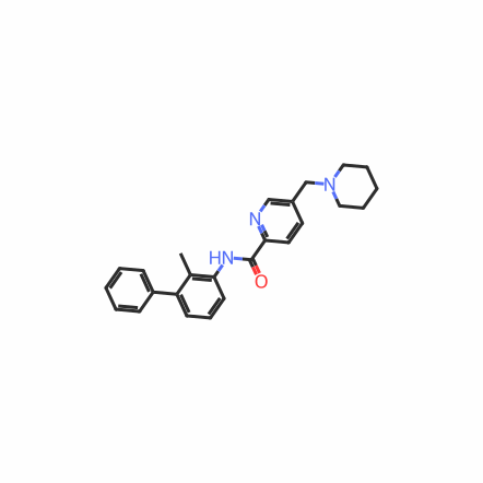 Cc1c(NC(=O)c2ccc(CN3CCCCC3)cn2)cccc1-c1ccccc1